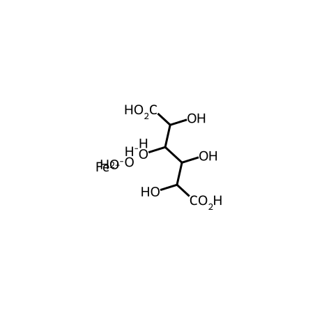 O=C(O)C(O)C(O)C(O)C(O)C(=O)O.[Fe+2].[OH-].[OH-]